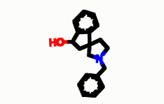 OC1CC2(CCN(Cc3ccccc3)C2)c2ccccc21